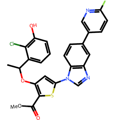 COC(=O)c1sc(-n2cnc3cc(-c4ccc(F)nc4)ccc32)cc1OC(C)c1cccc(O)c1Cl